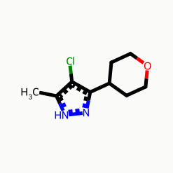 Cc1[nH]nc(C2CCOCC2)c1Cl